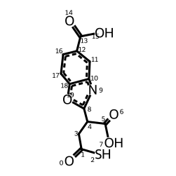 O=C(S)CC(C(=O)O)c1nc2cc(C(=O)O)ccc2o1